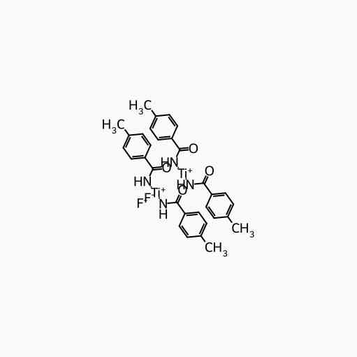 Cc1ccc(C(=O)[NH][Ti+][NH]C(=O)c2ccc(C)cc2)cc1.Cc1ccc(C(=O)[NH][Ti+][NH]C(=O)c2ccc(C)cc2)cc1.[F-].[F-]